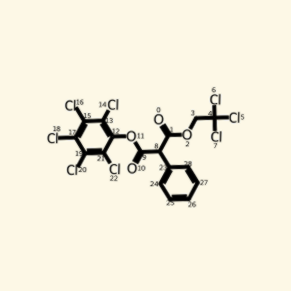 O=C(OCC(Cl)(Cl)Cl)C(C(=O)Oc1c(Cl)c(Cl)c(Cl)c(Cl)c1Cl)c1ccccc1